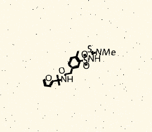 CNC(=S)NS(=O)(=O)c1cc(CC(=O)NC(C)(C)c2ccco2)ccc1C